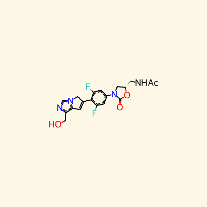 CC(=O)NC[C@H]1CN(c2cc(F)c(C3=Cc4c(CO)ncn4C3)c(F)c2)C(=O)O1